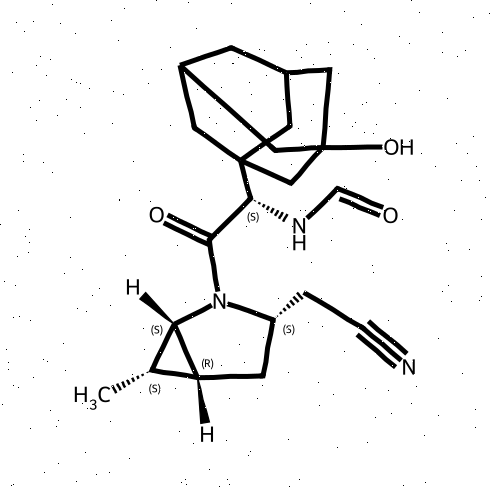 C[C@H]1[C@H]2C[C@@H](CC#N)N(C(=O)[C@@H](NC=O)C34CC5CC(CC(O)(C5)C3)C4)[C@@H]12